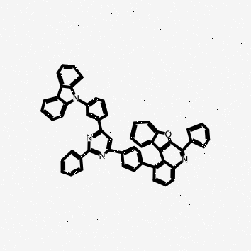 c1ccc(-c2nc(-c3ccc(-c4cccc5nc(-c6ccccc6)c6oc7ccccc7c6c45)cc3)cc(-c3cccc(-n4c5ccccc5c5ccccc54)c3)n2)cc1